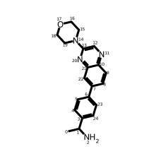 CC(N)c1ccc(-c2ccc3ncc(N4CCOCC4)nc3c2)cc1